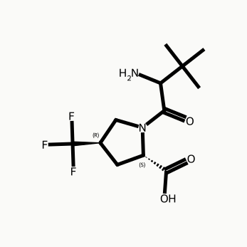 CC(C)(C)C(N)C(=O)N1C[C@H](C(F)(F)F)C[C@H]1C(=O)O